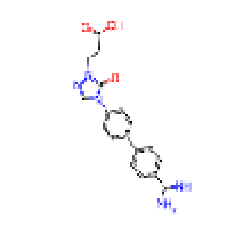 N=C(N)c1ccc(-c2ccc(-n3cnn(CCC(=O)O)c3=O)cc2)cc1